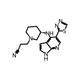 N#CCCN1CCC[C@@H](Nc2c(-c3nncs3)cnc3[nH]ccc23)C1